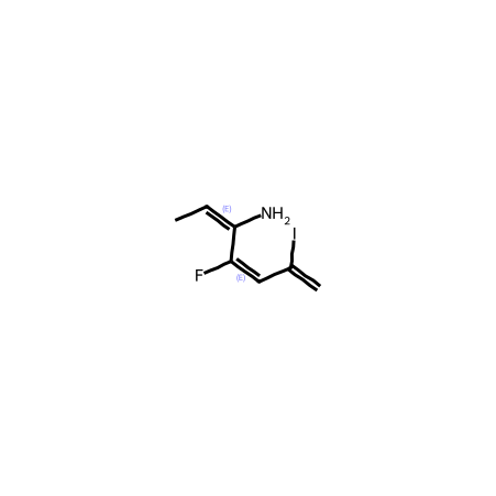 C=C(I)/C=C(F)\C(N)=C/C